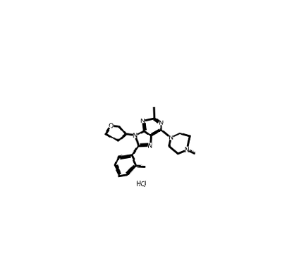 Cc1nc(N2CCN(C)CC2)c2nc(-c3ccccc3C)n(C3CCOC3)c2n1.Cl